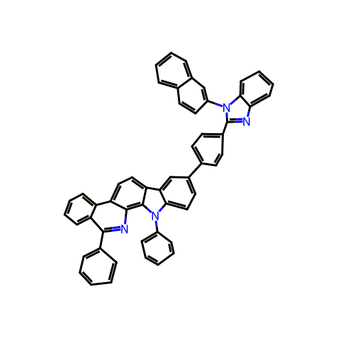 c1ccc(-c2nc3c(ccc4c5cc(-c6ccc(-c7nc8ccccc8n7-c7ccc8ccccc8c7)cc6)ccc5n(-c5ccccc5)c43)c3ccccc23)cc1